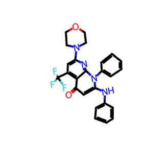 O=c1cc(Nc2ccccc2)n(-c2ccccc2)c2nc(N3CCOCC3)cc(C(F)(F)F)c12